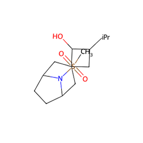 CC(C)C1CC2(CC3CCC(C2)N3S(C)(=O)=O)C1O